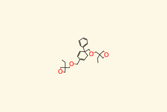 CCC1(COCC2=CCC(COCC3(CC)COC3)(c3ccccc3)C=C2)COC1